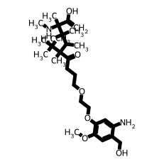 C=C(O)C(C)(NC)C(C)(C)C(C)C(C)(C(=O)CCCOCCOc1cc(N)c(CO)cc1OC)C(C)(C)C